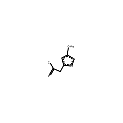 COc1cc(CC(=O)Cl)on1